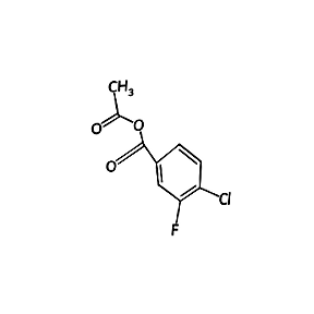 CC(=O)OC(=O)c1ccc(Cl)c(F)c1